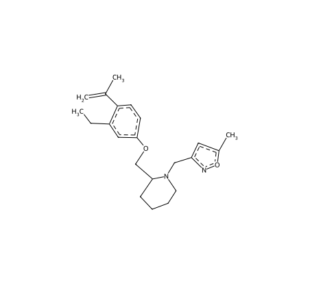 C=C(C)c1ccc(OCC2CCCCN2Cc2cc(C)on2)cc1CC